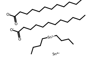 CCCCCCCCCCCC(=O)[O-].CCCCCCCCCCCC(=O)[O-].CCC[CH2][Sn+2][CH2]CCC.[Sn+4]